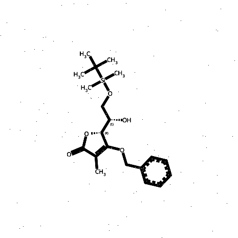 CC1=C(OCc2ccccc2)[C@@H]([C@@H](O)CO[Si](C)(C)C(C)(C)C)OC1=O